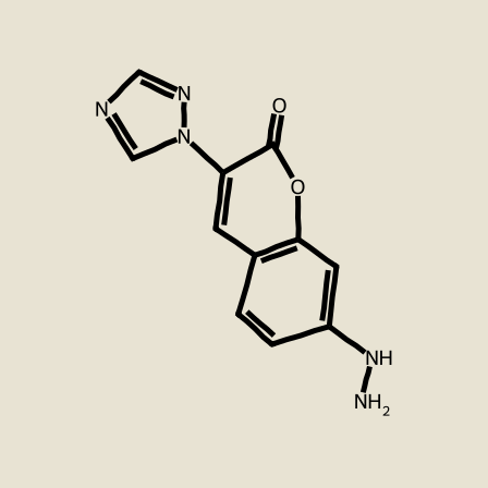 NNc1ccc2cc(-n3cncn3)c(=O)oc2c1